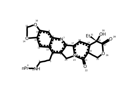 CCCNCCc1c2c(nc3cc4c(cc13)OCO4)-c1cc3c(c(=O)n1C2)COC(=O)[C@]3(O)CC